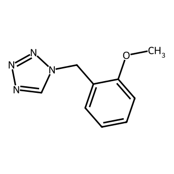 COc1ccccc1Cn1cnnn1